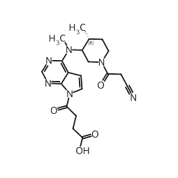 C[C@@H]1CCN(C(=O)CC#N)CC1N(C)c1ncnc2c1ccn2C(=O)CCC(=O)O